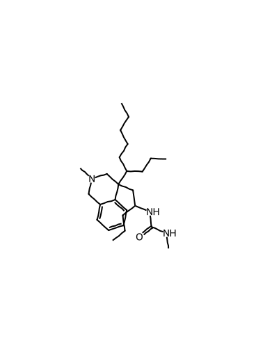 CCCCCC(CCC)C1(CC(CCC)NC(=O)NC)CN(C)Cc2ccccc21